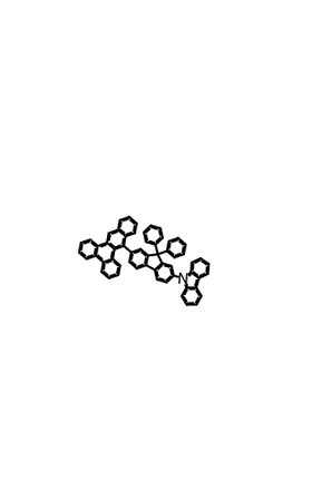 c1ccc(C2(c3ccccc3)c3cc(-c4c5ccccc5cc5c6ccccc6c6ccccc6c45)ccc3-c3ccc(-n4c5ccccc5c5ccccc54)cc32)cc1